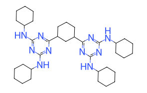 C1CCC(Nc2nc(NC3CCCCC3)nc(C3CCCC(c4nc(NC5CCCCC5)nc(NC5CCCCC5)n4)C3)n2)CC1